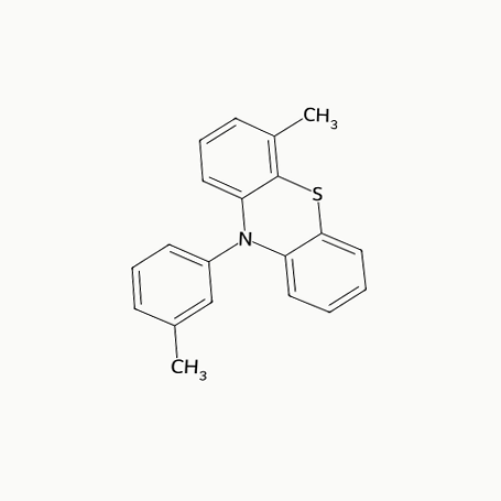 Cc1cccc(N2c3ccccc3Sc3c(C)cccc32)c1